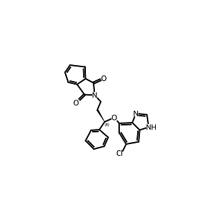 O=C1c2ccccc2C(=O)N1CC[C@@H](Oc1cc(Cl)cc2[nH]cnc12)c1ccccc1